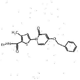 CCNC(=O)c1sc(-n2ccc(OCc3ccccc3)cc2=O)cc1C